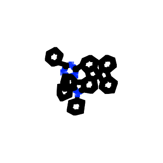 c1ccc(-c2nc(-c3ccccc3)nc(-c3cccc4c3-c3c(ccc5c3c3ccccc3n5-c3ccccc3)C43c4ccccc4-c4ccccc43)n2)cc1